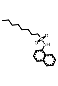 CCCCCCCCS(=O)(=O)Nc1cccc2ccccc12